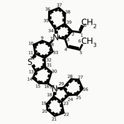 C=Cc1c(/C=C\C)n(-c2ccc3sc4ccc(-n5c6ccccc6c6ccccc65)cc4c3c2)c2ccccc12